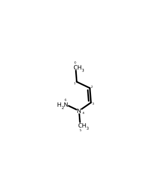 CC/C=C\N(C)N